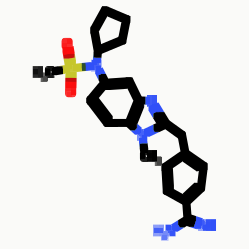 Cn1c(Cc2ccc(C(=N)N)cc2)nc2cc(N(C3CCCC3)S(C)(=O)=O)ccc21